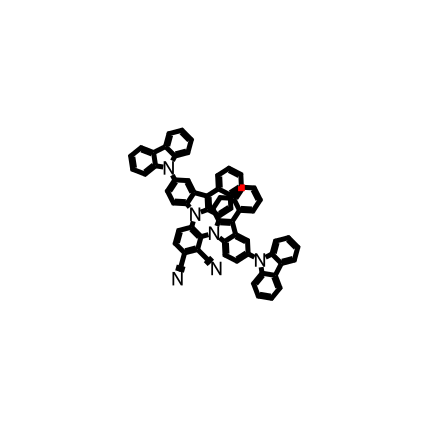 N#Cc1ccc(-n2c3ccc(-n4c5ccccc5c5ccccc54)cc3c3c4ccccc4ccc32)c(-n2c3c(c4cc(-n5c6ccccc6c6ccccc65)ccc42)-c2ccccc2CC3)c1C#N